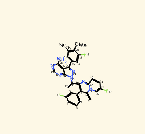 C=C1C(c2cccc(F)c2)=C(C(C)n2nc(-c3cc(F)c(OC)c(C#N)c3)c3c(N)ncnc32)N=C2C=CC(F)=CN12